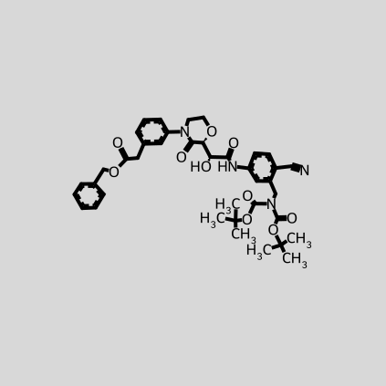 CC(C)(C)OC(=O)N(Cc1cc(NC(=O)[C@H](O)[C@H]2OCCN(c3cccc(CC(=O)OCc4ccccc4)c3)C2=O)ccc1C#N)C(=O)OC(C)(C)C